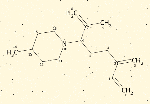 C=CC(=C)CCC(C(=C)C)N1CCC(C)CC1